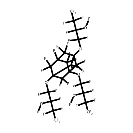 FOC(F)(C(F)(F)OC12C(F)(F)C3(F)C(F)(F)C(OC(F)(F)C(F)(OF)C(F)(F)C(F)(F)F)(C1(F)F)C(F)(F)C(OC(F)(F)C(F)(OF)C(F)(F)C(F)(F)F)(C3(F)F)C2(F)F)C(F)(F)C(F)(F)F